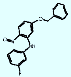 O=Nc1ccc(OCc2ccccc2)cc1Nc1cccc(F)c1